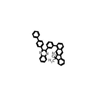 CC1(C)c2ccccc2-c2cc3cccc(-c4cccc(-c5nc6ccccc6nc5-c5ccc(-c6ccccc6)cc5)c4)c3cc21